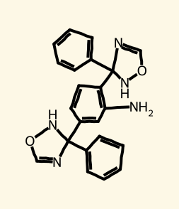 Nc1cc(C2(c3ccccc3)N=CON2)ccc1C1(c2ccccc2)N=CON1